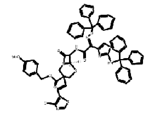 COc1ccc(COC(=O)C2(C=Cc3scnc3Cl)CS[C@@H]3C(NC(=O)C(=NOC(c4ccccc4)(c4ccccc4)c4ccccc4)c4csc(NC(c5ccccc5)(c5ccccc5)c5ccccc5)n4)C(=O)N3C2)cc1